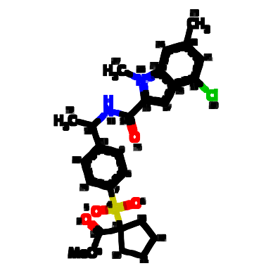 COC(=O)C1(S(=O)(=O)c2ccc(C(C)NC(=O)c3cc4c(Cl)cc(C)cc4n3C)cc2)CCCC1